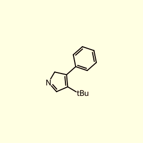 CC(C)(C)C1=C(c2ccccc2)CN=C1